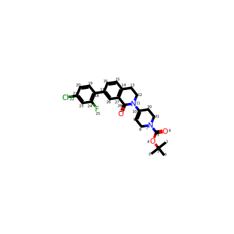 CC(C)(C)OC(=O)N1CC=C(N2CCc3ccc(-c4ccc(Cl)cc4F)cc3C2=O)CC1